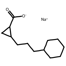 O=C([O-])C1CC1CCCC1CCCCC1.[Na+]